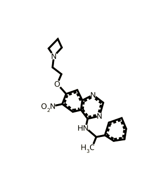 CC(Nc1ncnc2cc(OCCN3CCC3)c([N+](=O)[O-])cc12)c1ccccc1